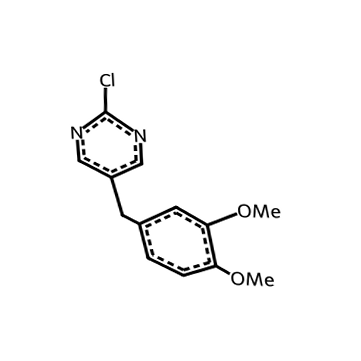 COc1ccc(Cc2cnc(Cl)nc2)cc1OC